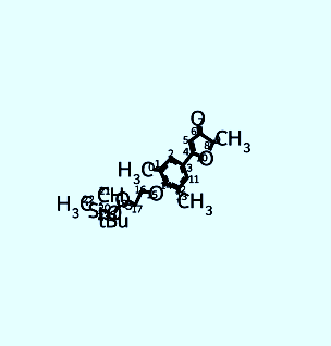 Cc1cc(C2=CC(=O)C(C)O2)cc(C)c1OCCOO[Si](C)(C)C(C)(C)C